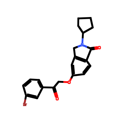 O=C(COc1ccc2c(c1)CN(C1CCCC1)C2=O)c1cccc(Br)c1